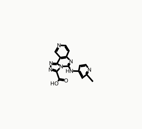 Cc1cc(Nc2nc3ccncc3c3nnc(C(=O)O)n23)ccn1